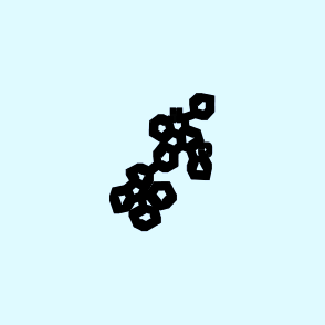 c1ccc(-c2nc3ccccc3c3c(-c4ccc(-c5ccc6c(c5)C(c5ccccc5)(c5ccccc5)c5ccccc5-6)cc4)c4c(cc23)oc2ccccc24)cc1